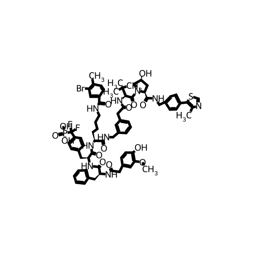 COc1cc(CC(=O)N[C@@H](Cc2ccccc2)C(=O)N[C@@H](Cc2ccc(C(F)(F)P(=O)(O)O)cc2)C(=O)N[C@@H](CCCCNC(=O)c2ccc(C)c(Br)c2)C(=O)NCc2cccc(CC(=O)N[C@H](C(=O)N3C[C@H](O)C[C@H]3C(=O)NCc3ccc(-c4scnc4C)cc3)C(C)(C)C)c2)ccc1O